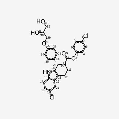 O=C(Oc1ccc(Cl)cc1)N1CCc2c([nH]c3ccc(Cl)cc23)[C@@H]1c1ccc(OC[C@@H](O)CO)cc1